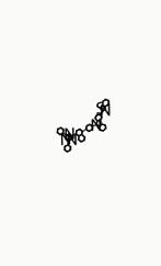 c1ccc(-c2nc(-c3ccccc3)nc(-c3ccc(-c4ccc(-n5c6ccccc6c6cc(-c7nc8ccccc8s7)ccc65)cc4)c4ccccc34)n2)cc1